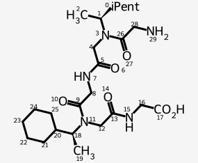 CCCC(C)[C@H](C)N(CC(=O)NCC(=O)N(CC(=O)NCC(=O)O)[C@@H](C)C1CCCCC1)C(=O)CN